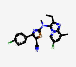 CCc1nc2c(C)cc(Br)cn2c1N(C)c1nc(-c2ccc(F)cc2)c(C#N)s1